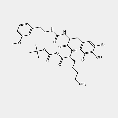 COc1cccc(CCNC(=O)N[C@H](Cc2cc(Br)c(O)c(Br)c2)C(=O)N[C@@H](CCCCN)C(=O)OC(=O)OC(C)(C)C)c1